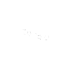 Cc1ccc(-n2nc(OC[C@@H](C)Cn3cc(Cl)c4cnc(Cl)nc43)c(N)c2C)c(C)n1